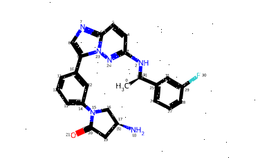 C[C@@H](Nc1ccc2ncc(-c3cccc(N4C[C@@H](N)CC4=O)c3)n2n1)c1cccc(F)c1